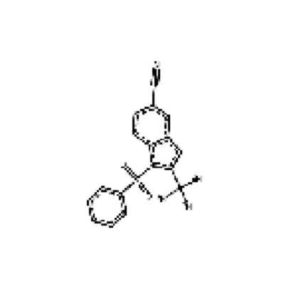 [2H]C([2H])([2H])c1cc2cc(C#N)ccc2n1S(=O)(=O)c1ccccc1